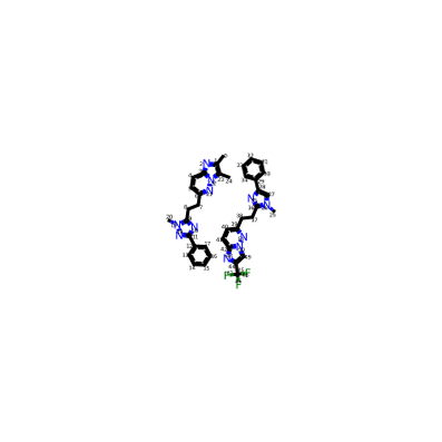 Cc1nc2ccc(CCc3nc(-c4ccccc4)nn3C)nn2c1C.Cn1cc(-c2ccccc2)nc1CCc1ccc2nc(C(F)(F)F)cn2n1